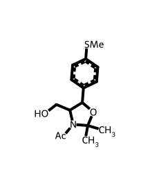 CSc1ccc(C2OC(C)(C)N(C(C)=O)C2CO)cc1